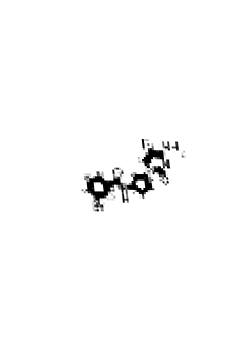 Nc1nc(=O)n(C2CCC(NC(=O)c3cccc(Br)c3)C2)cc1F